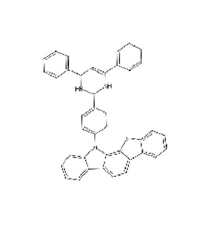 C1=CC(C2=CC(c3ccccc3)NC(C3=CC=C(n4c5ccccc5c5ccc6c7ccccc7sc6c54)CC3)N2)=CCC1